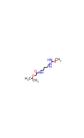 COC(=N)NCCCCCNC(=O)COC(C)C